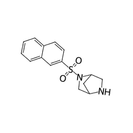 O=S(=O)(c1ccc2ccccc2c1)N1CC2CC1CN2